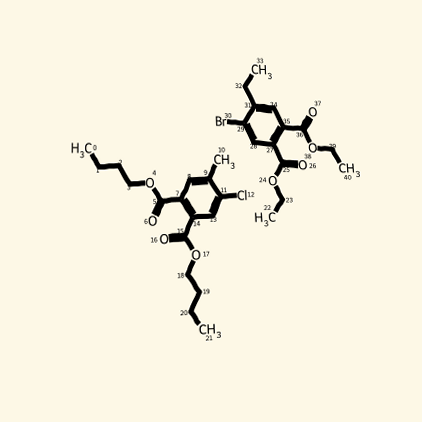 CCCCOC(=O)c1cc(C)c(Cl)cc1C(=O)OCCCC.CCOC(=O)c1cc(Br)c(CC)cc1C(=O)OCC